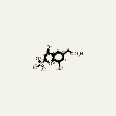 CCS(=O)(=O)c1cc(=O)c2cc(CC(=O)O)cc(Br)c2o1